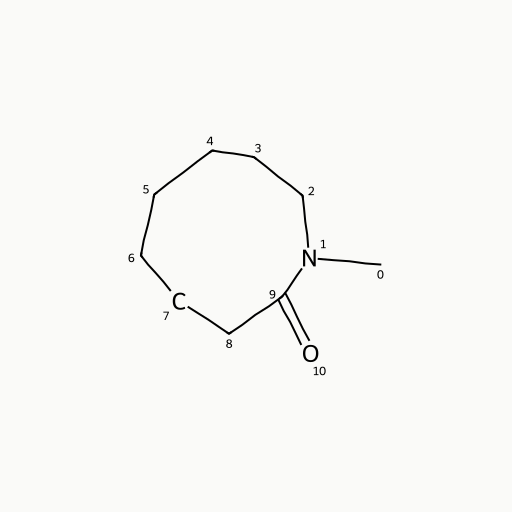 CN1CCCCCCCC1=O